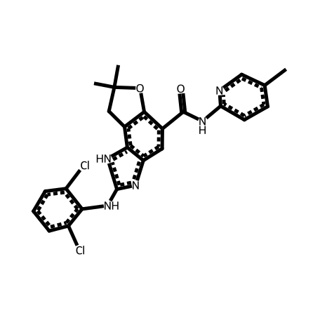 Cc1ccc(NC(=O)c2cc3nc(Nc4c(Cl)cccc4Cl)[nH]c3c3c2OC(C)(C)C3)nc1